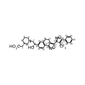 O=C(O)C[C@H]1CCCN(C[C@@H](O)c2ccc3c(c2)CCc2c-3noc2-c2noc(-c3ccccc3)c2C(F)(F)F)C1